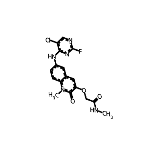 CNC(=O)COc1cc2cc(Nc3nc(F)ncc3Cl)ccc2n(C)c1=O